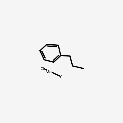 CCCc1cc[c]cc1.[Cl][Mg][Cl]